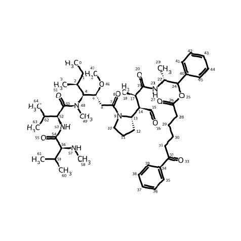 CC[C@H](C)[C@@H]([C@@H](CC(=O)N1CCC[C@H]1[C@H](C=O)[C@@H](C)C(=O)N[C@H](C)C(OC(=O)CCCCC(=O)c1ccccc1)c1ccccc1)OC)N(C)C(=O)[C@@H](NC(=O)[C@@H](NC)C(C)C)C(C)C